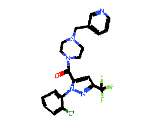 O=C(c1cc(C(F)(F)F)nn1-c1ccccc1Cl)N1CCN(Cc2cccnc2)CC1